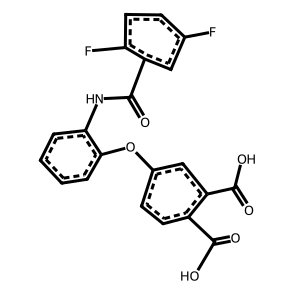 O=C(Nc1ccccc1Oc1ccc(C(=O)O)c(C(=O)O)c1)c1cc(F)ccc1F